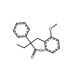 CCC(Cc1ccccc1OC)(C(=O)O)c1ccccc1